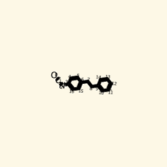 O=C=Nc1ccc(CCc2c[c]ccc2)cc1